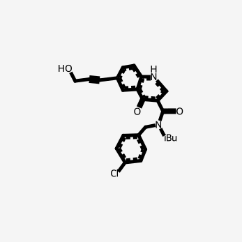 CCC(C)N(Cc1ccc(Cl)cc1)C(=O)c1c[nH]c2ccc(C#CCO)cc2c1=O